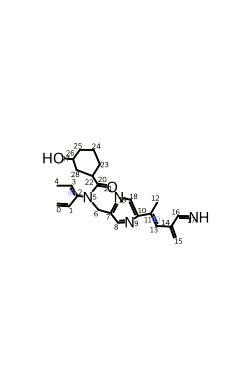 C=C/C(=C\C)N(Cc1cnc(/C(C)=C/C(=C)C=N)cn1)C(=O)C1CCCC(O)C1